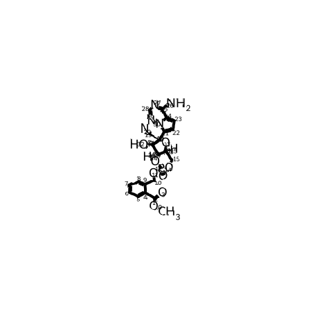 COC(=O)c1ccccc1COP1(=O)OC[C@H]2O[C@@](C#N)(c3ccc4c(N)ncnn34)[C@H](O)[C@@H]2O1